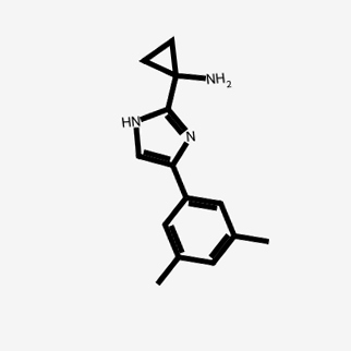 Cc1cc(C)cc(-c2c[nH]c(C3(N)CC3)n2)c1